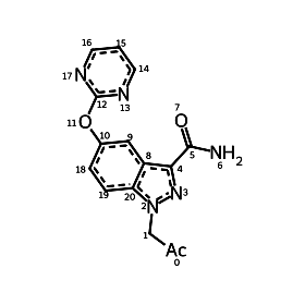 CC(=O)Cn1nc(C(N)=O)c2cc(Oc3ncccn3)ccc21